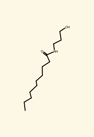 CCCCCCCCCC(=O)NCCCO